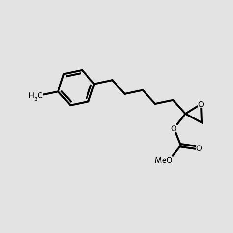 COC(=O)OC1(CCCCCc2ccc(C)cc2)CO1